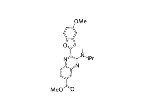 COC(=O)c1ccc2nc(-c3cc4cc(OC)ccc4o3)c(N(C)C(C)C)nc2c1